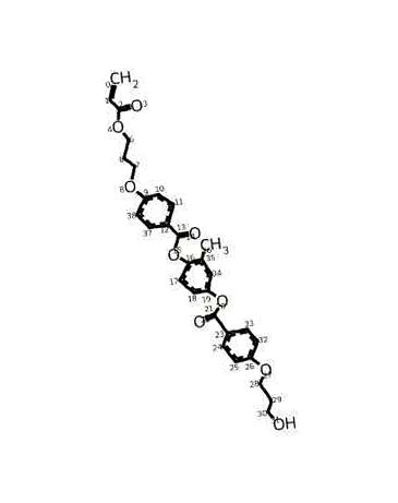 C=CC(=O)OCCCOc1ccc(C(=O)Oc2ccc(OC(=O)c3ccc(OCCCO)cc3)cc2C)cc1